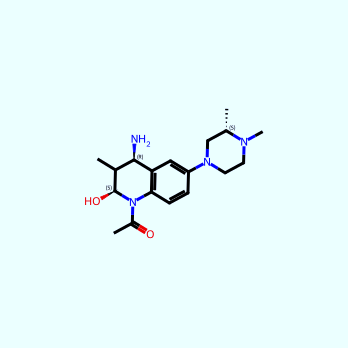 CC(=O)N1c2ccc(N3CCN(C)[C@@H](C)C3)cc2[C@H](N)C(C)[C@@H]1O